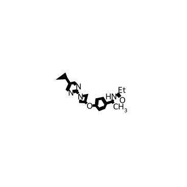 CCC(=O)NC(C)c1ccc(OC2CN(c3ncc(C4CC4)cn3)C2)cc1